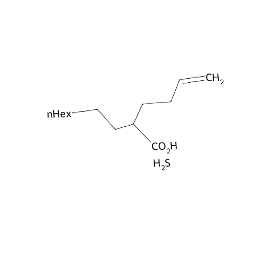 C=CCCC(CCCCCCCC)C(=O)O.S